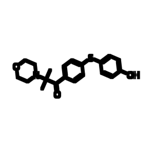 CC(C)(C(=O)c1ccc(Sc2ccc(O)cc2)cc1)N1CCOCC1